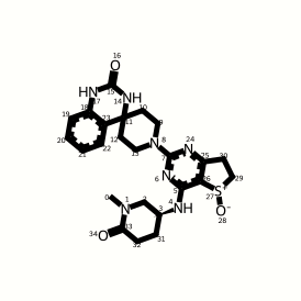 CN1C[C@@H](Nc2nc(N3CCC4(CC3)NC(=O)Nc3ccccc34)nc3c2[S+]([O-])CC3)CCC1=O